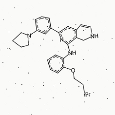 CC(C)CCOc1ccccc1Nc1nc(-c2cccc(N3CCCC3)c2)cc2c1CNC=C2